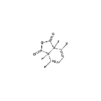 O=C1OC(=O)C2(F)C(F)=CC=C(F)C12F